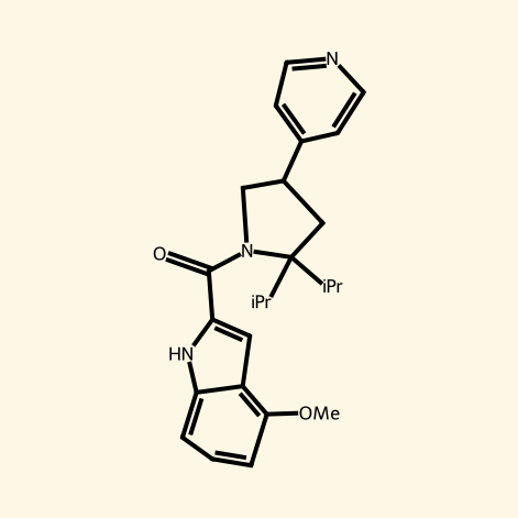 COc1cccc2[nH]c(C(=O)N3CC(c4ccncc4)CC3(C(C)C)C(C)C)cc12